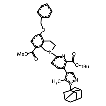 COC(=O)c1ccc(OCc2ccccc2)c2c1CN(c1ccc(-c3cnn(C45CC6CC(CC(C6)C4)C5)c3C)c(C(=O)OC(C)(C)C)n1)CC2